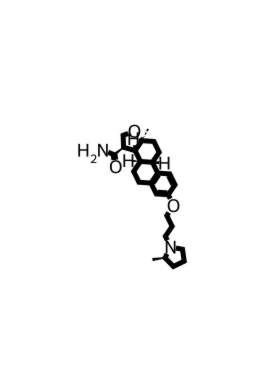 C[C@@H]1CCCN1CCCOc1ccc2c(c1)CC[C@H]1[C@@H]3[C@@H](C(N)=O)CO[C@@]3(C)CC[C@H]21